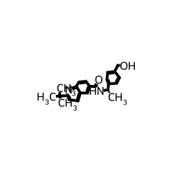 C[C@@H](NC(=O)c1ccc2nc(C(C)(C)C)ccc2c1)c1ccc(CO)cc1